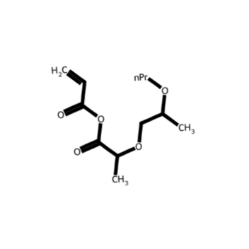 C=CC(=O)OC(=O)C(C)OCC(C)OCCC